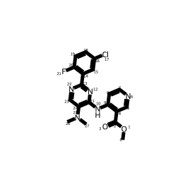 COC(=O)c1cnccc1Nc1nc(-c2cc(Cl)ccc2F)ncc1N(C)C